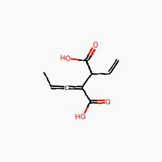 C=CC(C(=O)O)C(=C=CC)C(=O)O